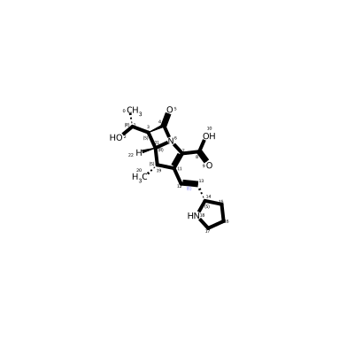 C[C@@H](O)[C@H]1C(=O)N2C(C(=O)O)=C(/C=C/[C@@H]3CCCN3)[C@H](C)[C@H]12